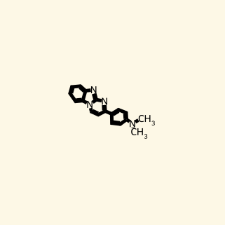 CN(C)c1ccc(-c2ccn3c(n2)nc2ccccc23)cc1